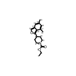 CCOC(=O)N1CCC(c2occ3cc(C)cc(C)c23)CC1